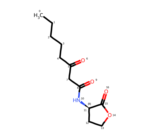 CCCCCC(=O)CC(=O)N[C@@H]1CCOC1=O